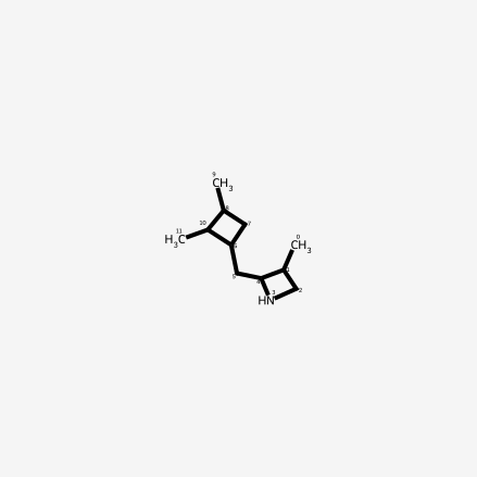 CC1CNC1CC1CC(C)C1C